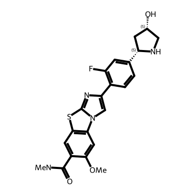 CNC(=O)c1cc2sc3nc(-c4ccc([C@@H]5C[C@H](O)CN5)cc4F)cn3c2cc1OC